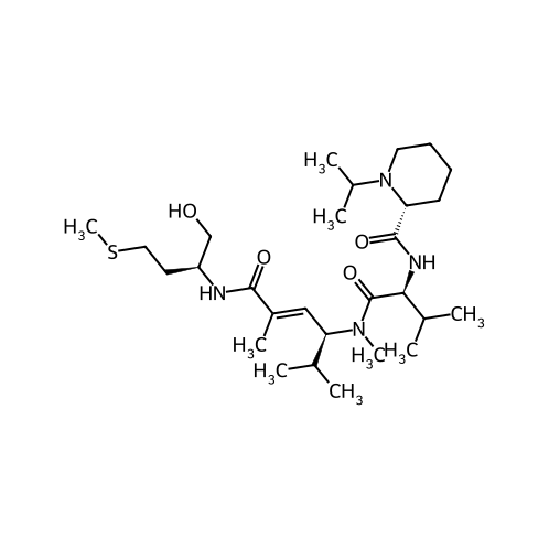 CSCC[C@@H](CO)NC(=O)/C(C)=C/[C@H](C(C)C)N(C)C(=O)[C@@H](NC(=O)[C@H]1CCCCN1C(C)C)C(C)C